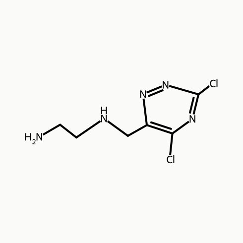 NCCNCc1nnc(Cl)nc1Cl